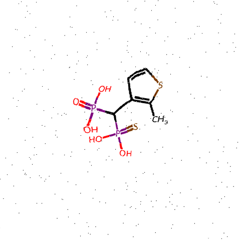 Cc1sccc1C(P(=O)(O)O)P(O)(O)=S